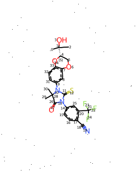 CC(C)(O)[C@@H]1COc2cc(N3C(=S)N(c4ccc(C#N)c(C(F)(F)F)c4)C(=O)C3(C)C)ccc2O1